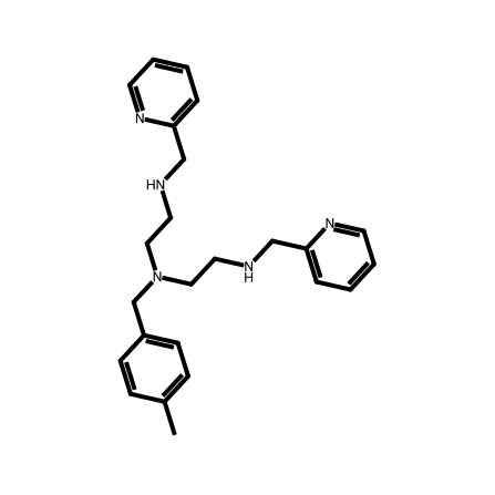 Cc1ccc(CN(CCNCc2ccccn2)CCNCc2ccccn2)cc1